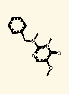 COc1cnc(N(C)Cc2ccccc2)n(C)c1=O